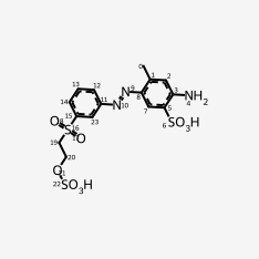 Cc1cc(N)c(S(=O)(=O)O)cc1N=Nc1cccc(S(=O)(=O)CCOS(=O)(=O)O)c1